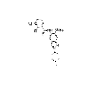 COc1cc2nn([C@H]3CC[C@H](C)CC3)cc2cc1NC(=O)c1cccc(Cl)c1Cl